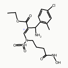 CCOC(=O)/C(=C/N(CCCC(=O)NO)[SH](=O)=O)C(N)c1ccc(Cl)cc1C